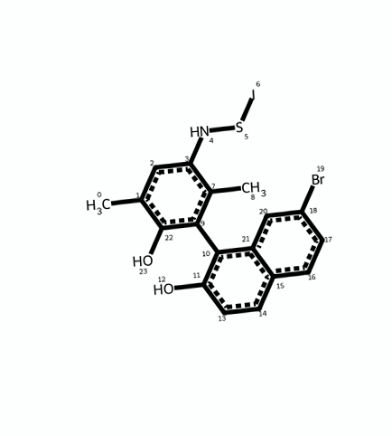 Cc1cc(NSI)c(C)c(-c2c(O)ccc3ccc(Br)cc23)c1O